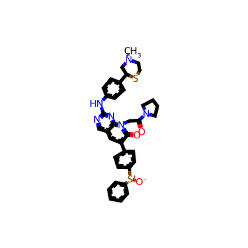 CN1CCSC(c2ccc(Nc3ncc4cc(-c5ccc([S+]([O-])c6ccccc6)cc5)c(=O)n(CC(=O)N5CCCC5)c4n3)cc2)C1